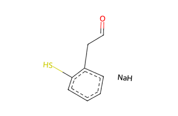 O=CCc1ccccc1S.[NaH]